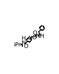 CC(C)[C@@H](C)NC(=O)c1cc[n+](COC(=O)N[C@@H](C)Cc2ccccc2)cc1